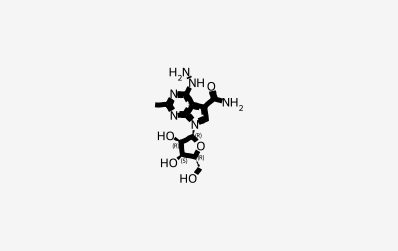 Cc1nc(NN)c2c(C(N)=O)cn([C@@H]3O[C@H](CO)[C@@H](O)[C@H]3O)c2n1